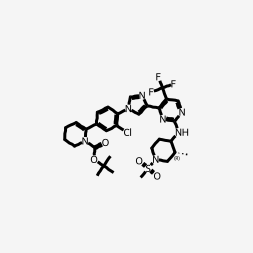 C[C@@H]1CN(S(C)(=O)=O)CCC1Nc1ncc(C(F)(F)F)c(-c2cn(-c3ccc(C4=CCCCN4C(=O)OC(C)(C)C)cc3Cl)cn2)n1